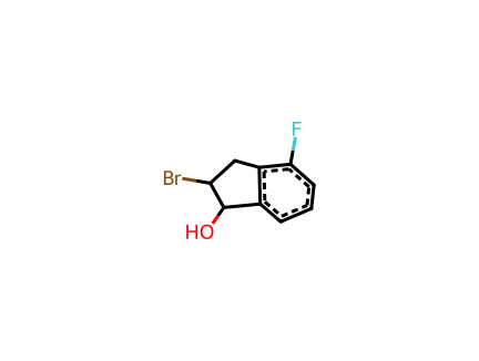 OC1c2cccc(F)c2CC1Br